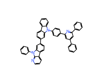 c1ccc(-c2cc(-c3ccccc3)nc(-c3ccc(-n4c5ccccc5c5ccc(-c6ccc7c8cccnc8n(-c8ccccc8)c7c6)cc54)cc3)c2)cc1